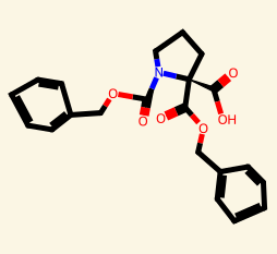 O=C(OCc1ccccc1)N1CCC[C@]1(C(=O)O)C(=O)OCc1ccccc1